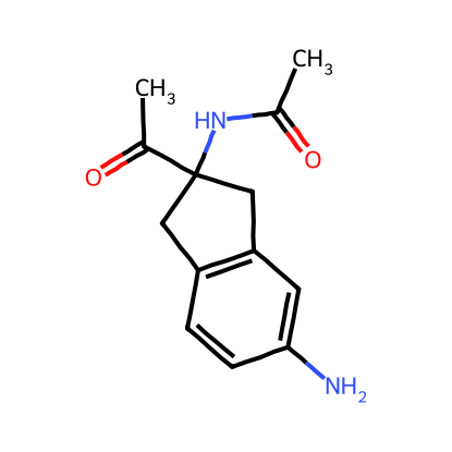 CC(=O)NC1(C(C)=O)Cc2ccc(N)cc2C1